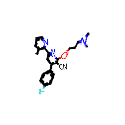 Cc1cccnc1-c1cc(-c2ccc(F)cc2)c(C#N)c(OCCCN(C)C)n1